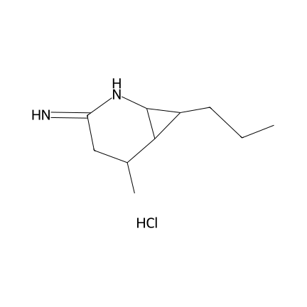 CCCC1C2NC(=N)CC(C)C12.Cl